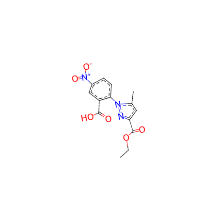 CCOC(=O)c1cc(C)n(-c2ccc([N+](=O)[O-])cc2C(=O)O)n1